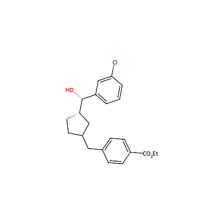 CCOC(=O)c1ccc(CC2CC[C@H]([C@H](O)c3cccc(Cl)c3)C2)cc1